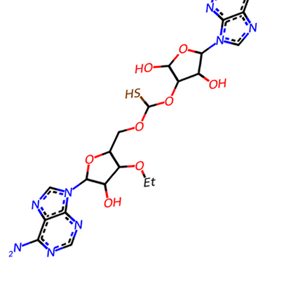 CCOC1C(COC(S)OC2C(O)OC(n3cnc4c(N)ncnc43)C2O)OC(n2cnc3c(N)ncnc32)C1O